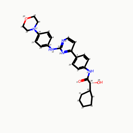 O=C(Nc1ccc(-c2ccnc(Nc3ccc(N4CCOCC4)cc3)n2)cc1)[C@H](O)C1CCCCC1